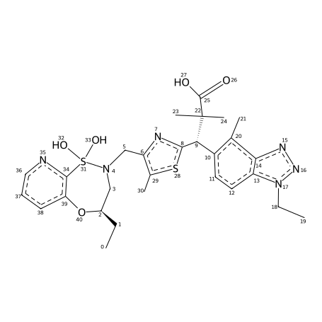 CC[C@@H]1CN(Cc2nc([C@@H](c3ccc4c(nnn4CC)c3C)C(C)(C)C(=O)O)sc2C)S(O)(O)c2ncccc2O1